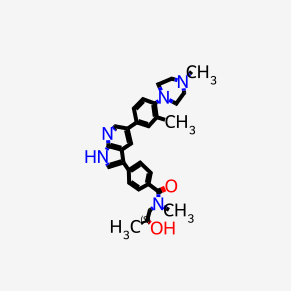 Cc1cc(-c2cnc3[nH]cc(-c4ccc(C(=O)N(C)C[C@H](C)O)cc4)c3c2)ccc1N1CCN(C)CC1